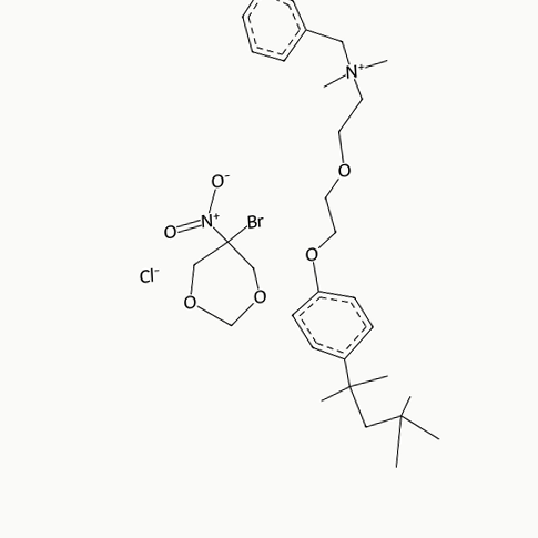 CC(C)(C)CC(C)(C)c1ccc(OCCOCC[N+](C)(C)Cc2ccccc2)cc1.O=[N+]([O-])C1(Br)COCOC1.[Cl-]